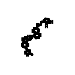 Cc1cc(-c2ccc3nnc(CNc4ccnc5cc(OCCN6C=CNN6)cnc45)n3n2)sn1